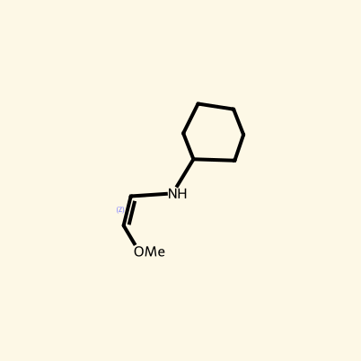 CO/C=C\NC1CCCCC1